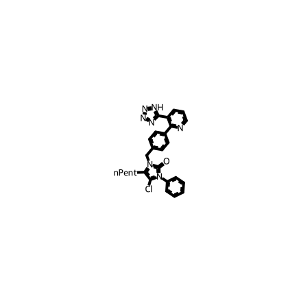 CCCCCc1c(Cl)n(-c2ccccc2)c(=O)n1Cc1ccc(-c2ncccc2-c2nnn[nH]2)cc1